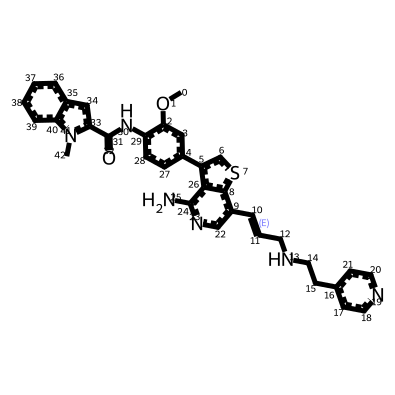 COc1cc(-c2csc3c(/C=C/CNCCc4ccncc4)cnc(N)c23)ccc1NC(=O)c1cc2ccccc2n1C